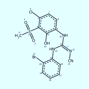 [CH2]S(=O)(=O)c1c(Cl)ccc(N/C(=N/C#N)Nc2ccccc2Br)c1O